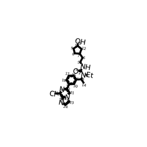 CCN(C(=O)NCCC1CCC(O)C1)C(C)c1cccc(-c2cn3ccnc3c(Cl)n2)c1